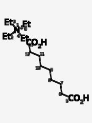 CC[N+](CC)(CC)CC.O=C(O)CCCCCCCC(=O)O